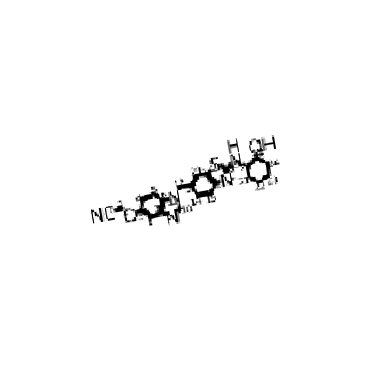 N#CCOc1ccc2c(c1)ncn2Cc1ccc2nc(N[C@@H]3CCCC[C@H]3O)sc2c1